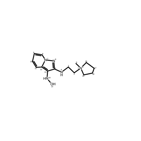 C[N+]1(CCNc2nn3ccccc3c2NO)CCCC1